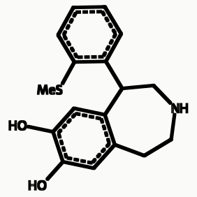 CSc1ccccc1C1CNCCc2cc(O)c(O)cc21